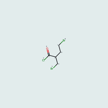 O=C(Cl)C(CBr)CCBr